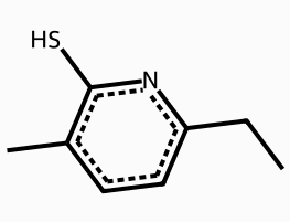 CCc1ccc(C)c(S)n1